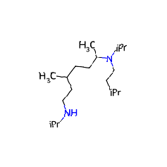 CC(C)CCN(C(C)C)C(C)CCC(C)CCNC(C)C